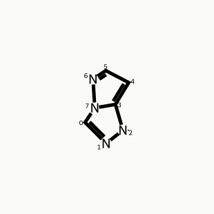 C1=N[N]c2ccnn21